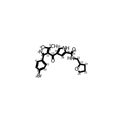 Cc1onc(-c2ccc(Br)cc2)c1C(=O)c1c[nH]c(C(=O)NCC2CCCO2)c1